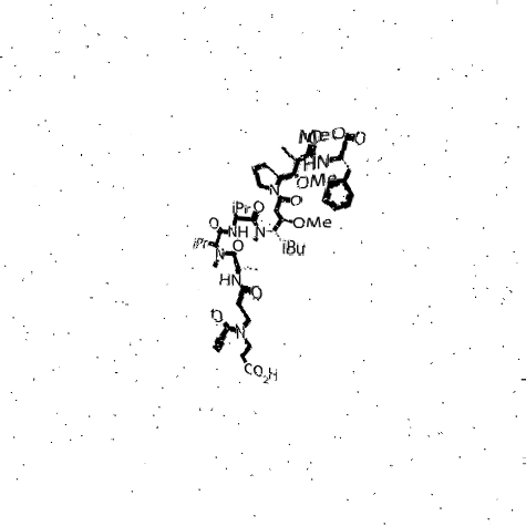 C#CC(=O)N(CCC(=O)O)CCC(=O)N[C@@H](C)C(=O)N(C)C(C(=O)N[C@H](C(=O)N(C)[C@@H]([C@@H](C)CC)[C@@H](CC(=O)N1CCC[C@H]1[C@H](OC)[C@@H](C)C(=O)N[C@@H](Cc1ccccc1)C(=O)OC)OC)C(C)C)C(C)C